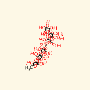 C[C@H]1OC(CO)[C@H](O[C@@H]2OC(CO)[C@H](O[C@@H]3OC(CO)[C@H](OCCOC4OC(CO)[C@H](O[C@@H]5OC(CO)[C@H](O[C@@H]6OC(CO)[C@@H](O)[C@@H](O)C6O)[C@@H](O)C5O)[C@@H](O)C4O)[C@@H](O)C3O)[C@@H](O)C2O)[C@@H](O)C1O